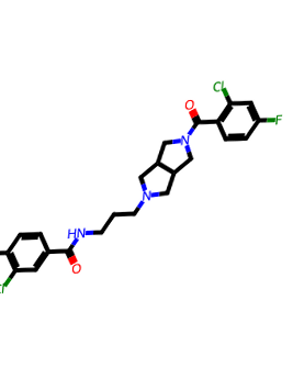 Cc1ccc(C(=O)NCCCN2CC3CN(C(=O)c4ccc(F)cc4Cl)CC3C2)cc1Cl